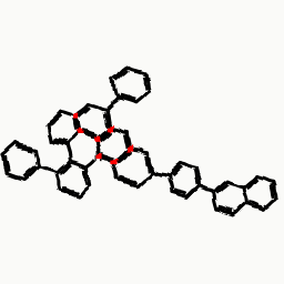 c1ccc(-c2cccc(N(c3ccc(-c4ccc(-c5ccc6ccccc6c5)cc4)cc3)c3cccc(-c4ccccc4)c3-c3ccccc3-c3ccccc3)c2)cc1